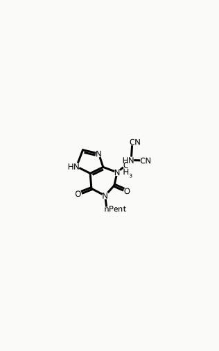 CCCCCn1c(=O)c2[nH]cnc2n(C)c1=O.N#CNC#N